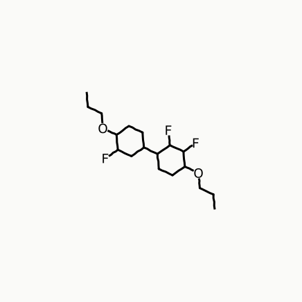 CCCOC1CCC(C2CCC(OCCC)C(F)C2F)CC1F